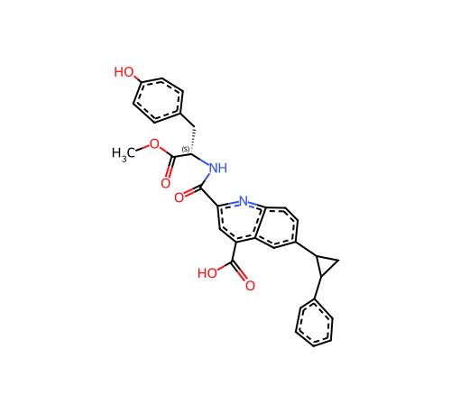 COC(=O)[C@H](Cc1ccc(O)cc1)NC(=O)c1cc(C(=O)O)c2cc(C3CC3c3ccccc3)ccc2n1